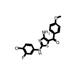 COc1ccc(C(=O)c2sc(Nc3ccc(Cl)c(F)c3)nc2N)cc1